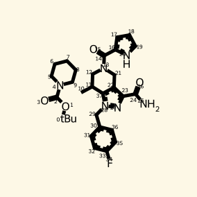 CC(C)(C)OC(=O)N1CCCCC1.CC1CN(C(=O)c2ccc[nH]2)Cc2c(C(N)=O)nn(Cc3ccc(F)cc3)c21